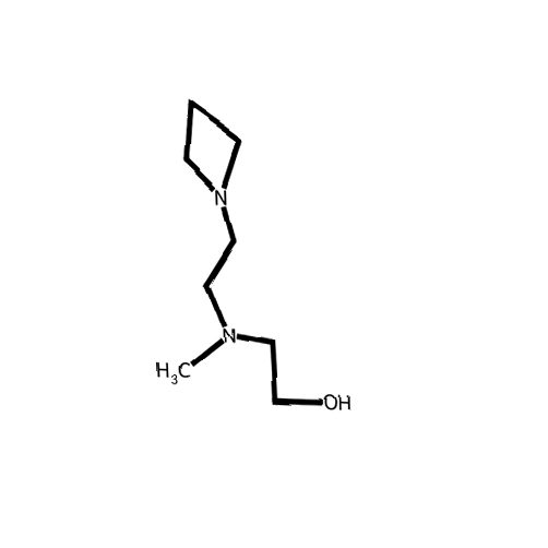 CN(CCO)CCN1CCC1